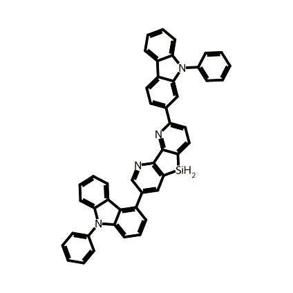 c1ccc(-n2c3ccccc3c3ccc(-c4ccc5c(n4)-c4ncc(-c6cccc7c6c6ccccc6n7-c6ccccc6)cc4[SiH2]5)cc32)cc1